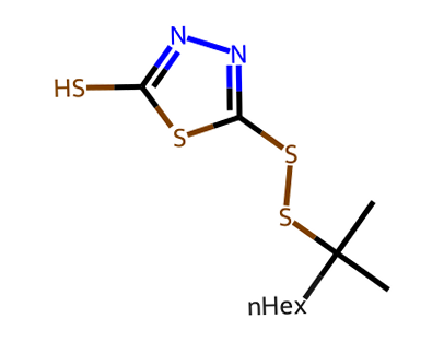 CCCCCCC(C)(C)SSc1nnc(S)s1